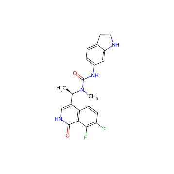 C[C@H](c1c[nH]c(=O)c2c(F)c(F)ccc12)N(C)C(=O)Nc1ccc2cc[nH]c2c1